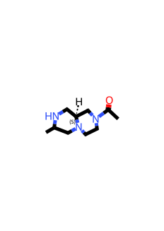 CC(=O)N1CCN2CC(C)NC[C@H]2C1